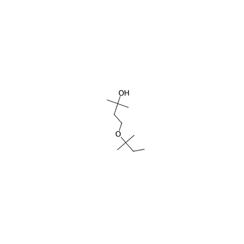 CCC(C)(C)OCCC(C)(C)O